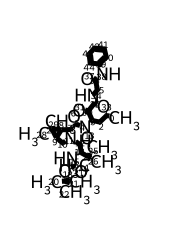 CCCC(NC(=O)[C@@H]1C2C(CN1C(=O)[C@@H](NC(=O)OC(C)(C)C)C(C)(C)C)C2(C)C)C(=O)C(=O)NCC(=O)Nc1ccccc1